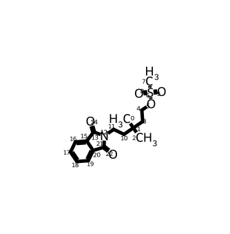 CC(C)(CCOS(C)(=O)=O)CCN1C(=O)c2ccccc2C1=O